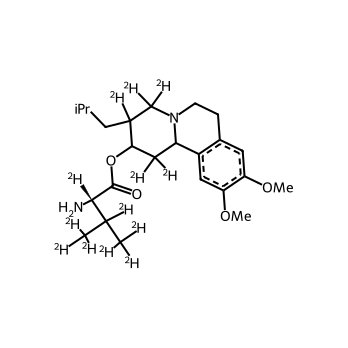 [2H]C1([2H])C2c3cc(OC)c(OC)cc3CCN2C([2H])([2H])C([2H])(CC(C)C)C1OC(=O)[C@@]([2H])(N)C([2H])(C([2H])([2H])[2H])C([2H])([2H])[2H]